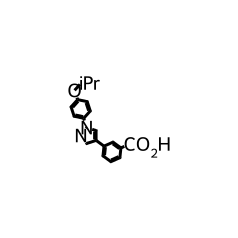 CC(C)Oc1ccc(-n2cc(-c3cccc(C(=O)O)c3)cn2)cc1